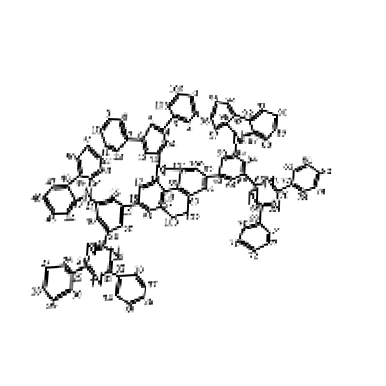 c1ccc(-c2cc(-c3ccccc3)cc(-n3c4cc(-c5cc(-c6nc(-c7ccccc7)nc(-c7ccccc7)n6)cc(-n6c7ccccc7c7ccccc76)c5)cc5c4c4c(cc(-c6cc(-c7nc(-c8ccccc8)nc(-c8ccccc8)n7)cc(-n7c8ccccc8c8ccccc87)c6)cc43)CC5)c2)cc1